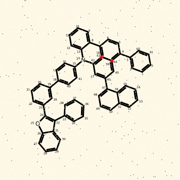 c1ccc(-c2ccc(-c3ccccc3N(c3ccc(-c4cccc(-c5oc6ccccc6c5-c5ccccc5)c4)cc3)c3cccc(-c4cccc5ccccc45)c3)cc2)cc1